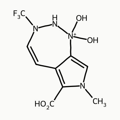 Cn1cc2c(c1C(=O)O)C=CN(C(F)(F)F)N[N+]2(O)O